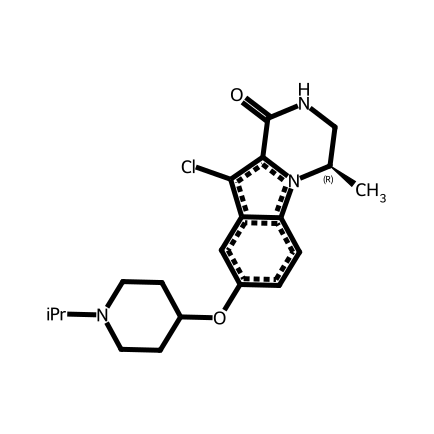 CC(C)N1CCC(Oc2ccc3c(c2)c(Cl)c2n3[C@H](C)CNC2=O)CC1